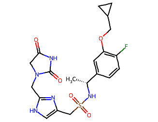 C[C@@H](NS(=O)(=O)Cc1c[nH]c(CN2CC(=O)NC2=O)n1)c1ccc(F)c(OCC2CC2)c1